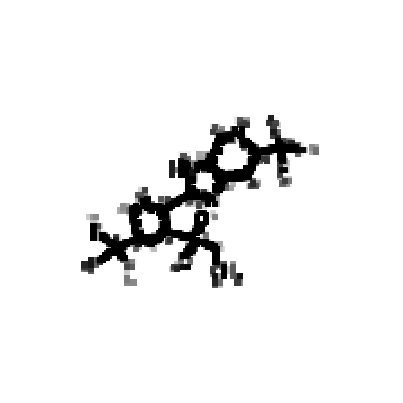 CCS(=O)(=O)c1cc(C(F)(F)F)cnc1-c1nc2cc(C(F)(F)F)ncc2[nH]1